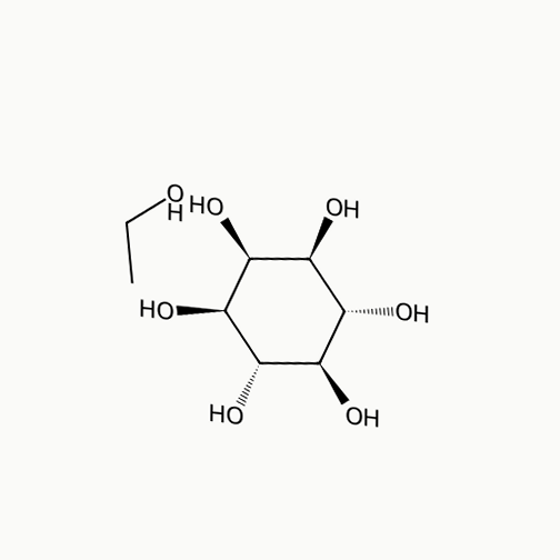 CCO.O[C@H]1[C@H](O)[C@@H](O)[C@H](O)[C@@H](O)[C@H]1O